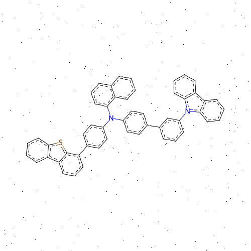 c1cc(-c2ccc(N(c3ccc(-c4cccc5c4sc4ccccc45)cc3)c3cccc4ccccc34)cc2)cc(-n2c3ccccc3c3ccccc32)c1